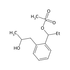 CCC(OS(C)(=O)=O)c1ccccc1CC(C)O